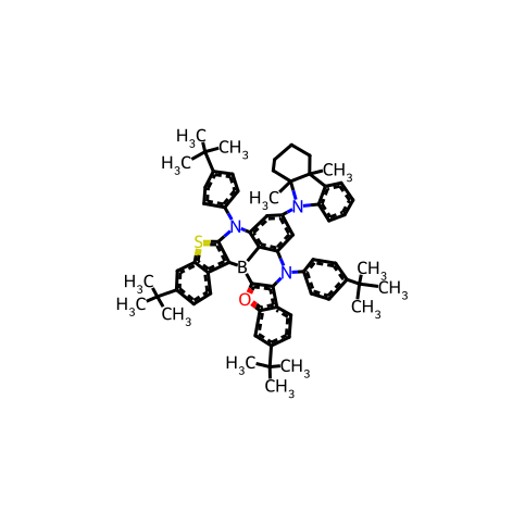 CC(C)(C)c1ccc(N2c3cc(N4c5ccccc5C5(C)CCCCC45C)cc4c3B(c3oc5cc(C(C)(C)C)ccc5c3N4c3ccc(C(C)(C)C)cc3)c3c2sc2cc(C(C)(C)C)ccc32)cc1